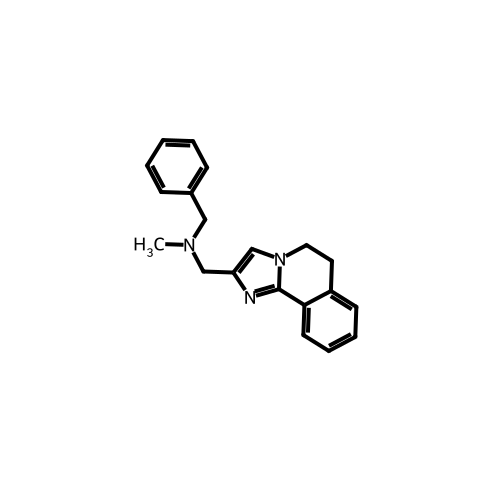 CN(Cc1ccccc1)Cc1cn2c(n1)-c1ccccc1CC2